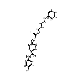 O=C(COc1ncc(C(=O)Nc2ccc(F)cc2)cn1)OCCCCCc1ccccc1